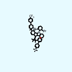 CC(C)C1=CCCC(C(C)C)C1N1C2=C(CCCC2)C2/C(=C3/C(C)(C)C3(C)c3ccccc3C3C=CC([Si](C)(C)C)=CC3)C3C=CC4C(OC5CC(C6C=CC(C(F)(F)F)=CC6)C=CC54C)C3C21